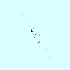 CCCCCCCCCCC(CCCCCCCC)CCCCCCCc1cc(-c2ccc(-c3cc(CCCCCCCC(CCCCCCCC)CCCCCCCCCC)c(Br)s3)c3nsnc23)sc1Br